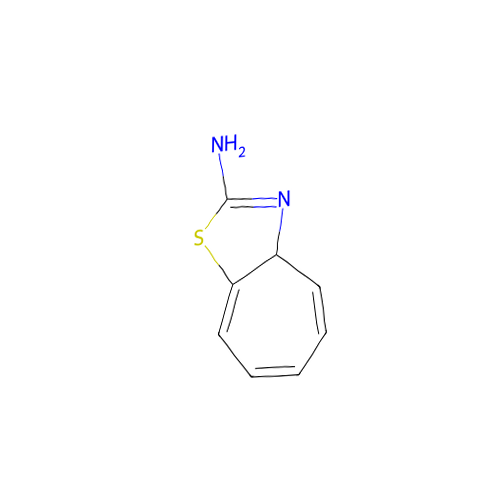 NC1=NC2C=CC=CC=C2S1